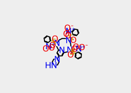 O=[N+]([O-])c1ccccc1S(=O)(=O)N1CCCN(S(=O)(=O)c2ccccc2[N+](=O)[O-])Cc2cc(N3CCNCC3)cc(n2)CN(S(=O)(=O)c2ccccc2[N+](=O)[O-])CC1